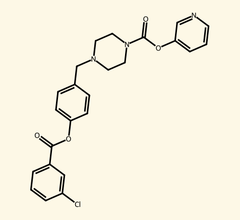 O=C(Oc1ccc(CN2CCN(C(=O)Oc3cccnc3)CC2)cc1)c1cccc(Cl)c1